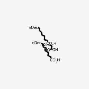 CCCCCCCCCCCC(O)O.CCCCCCCCCCCCCCCCCC(=O)O.CCCCCCCCCCCCCCCCCC(=O)O